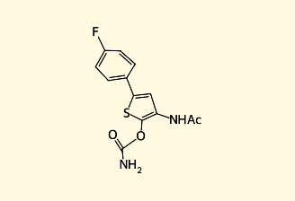 CC(=O)Nc1cc(-c2ccc(F)cc2)sc1OC(N)=O